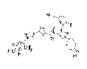 CCO[C@H]1CC[C@H](n2cc(NC(=O)c3csc(-c4cnn(C(C)OP(=O)(O)O)c4)n3)c(-c3nc(F)ccc3F)n2)CC1.[KH]